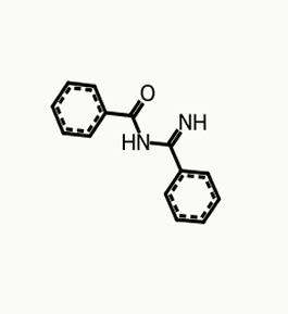 N=C(NC(=O)c1ccccc1)c1ccccc1